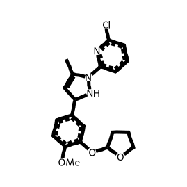 COc1ccc(C2C=C(C)N(c3cccc(Cl)n3)N2)cc1OC1CCCO1